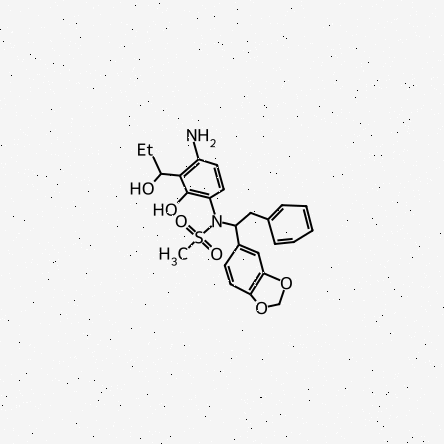 CCC(O)c1c(N)ccc(N(C(Cc2ccccc2)c2ccc3c(c2)OCO3)S(C)(=O)=O)c1O